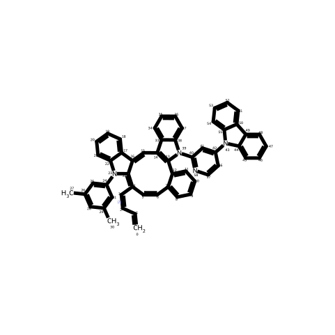 C=C/C=C\c1ccc2ccccc2c2c(cc3c4ccccc4n(-c4cc(C)cc(C)c4)c13)c1ccccc1n2-c1cc(-n2c3ccccc3c3ccccc32)ccn1